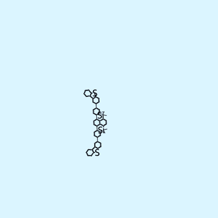 C[Si]1(C)c2cc(-c3ccc4sc5ccccc5c4c3)ccc2-c2ccc3c4c(ccc1c24)[Si](C)(C)c1cc(-c2ccc4sc5ccccc5c4c2)ccc1-3